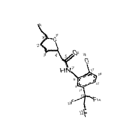 CC1CCC(C(=O)Nc2cc(C(F)(F)F)ccc2Cl)O1